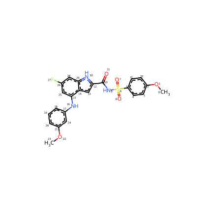 COc1ccc(S(=O)(=O)NC(=O)c2cc3c(Nc4cccc(OC)c4)cc(F)cc3[nH]2)cc1